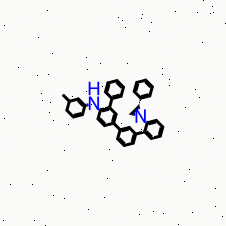 CC1C=C(Nc2ccc(-c3cccc(-c4ccccc4N4C[C@@H]4c4ccccc4)c3)cc2-c2ccccc2)C=CC1